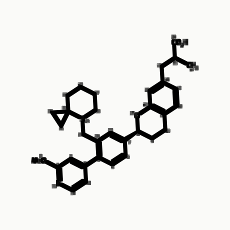 COc1cc(-c2ccc([C@@H]3CCc4ccc(CC(C)C(=O)O)cc4O3)cc2CN2CCCCC23CC3)ccn1